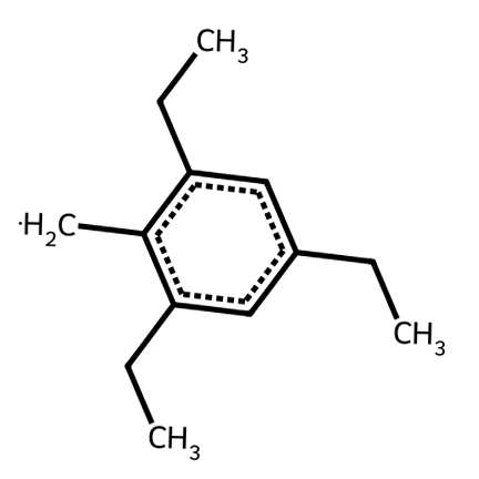 [CH2]c1c(CC)cc(CC)cc1CC